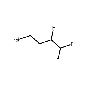 FC(F)C(F)CC[Si]